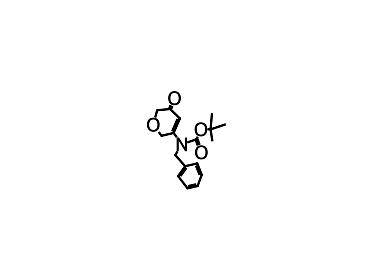 CC(C)(C)OC(=O)N(Cc1ccccc1)C1=CC(=O)COC1